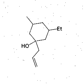 C=CCC1(O)CC(C)CC(CC)C1